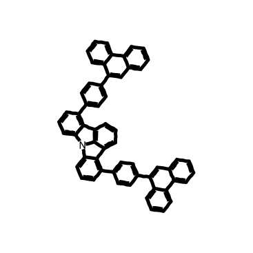 c1ccc2c(c1)cc(-c1ccc(-c3cccc4c3c3cccc5c6c(-c7ccc(-c8cc9ccccc9c9ccccc89)cc7)cccc6n4c35)cc1)c1ccccc12